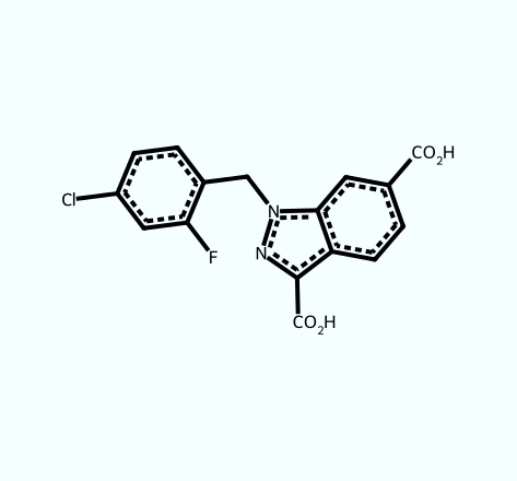 O=C(O)c1ccc2c(C(=O)O)nn(Cc3ccc(Cl)cc3F)c2c1